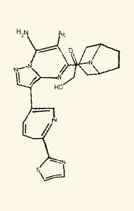 CC(=O)c1c(C2CC3CCC(C2)N3C(=O)CO)nc2c(-c3ccc(-c4nccs4)nc3)cnn2c1N